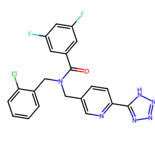 O=C(c1cc(F)cc(F)c1)N(Cc1ccc(-c2nnn[nH]2)nc1)Cc1ccccc1Cl